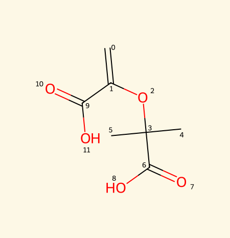 C=C(OC(C)(C)C(=O)O)C(=O)O